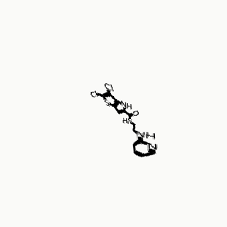 O=C(NCCNc1ccccn1)c1cc2sc(Cl)c(Cl)c2[nH]1